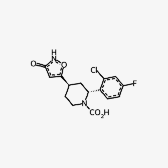 O=C(O)N1CC[C@@H](c2cc(=O)[nH]o2)C[C@@H]1c1ccc(F)cc1Cl